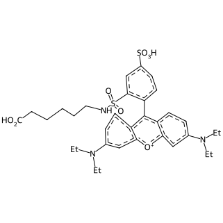 CCN(CC)c1ccc2c(-c3ccc(S(=O)(=O)O)cc3S(=O)(=O)NCCCCCC(=O)O)c3ccc(N(CC)CC)cc3[o+]c2c1